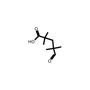 CC(C)(C=O)CC(C)(C)C(=O)O